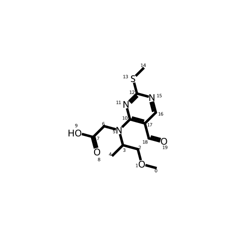 COCC(C)N(CC(=O)O)c1nc(SC)ncc1C=O